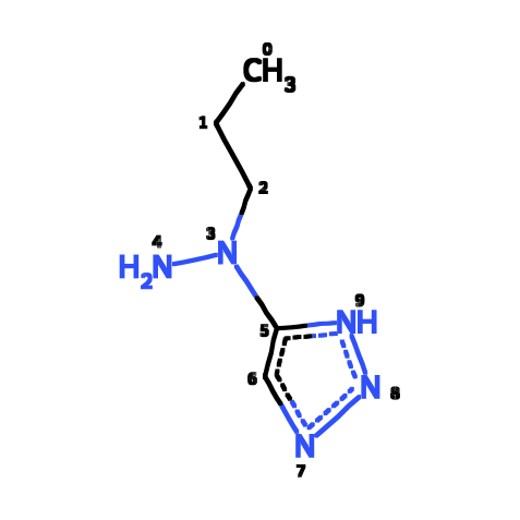 CCCN(N)c1cnn[nH]1